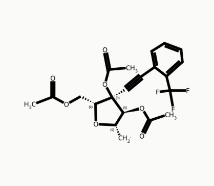 [CH2][C@@H]1O[C@H](COC(C)=O)[C@@](C#Cc2ccccc2C(F)(F)F)(OC(C)=O)[C@H]1OC(C)=O